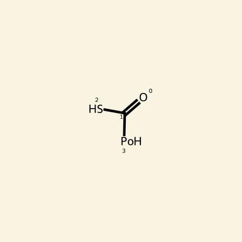 O=[C](S)[PoH]